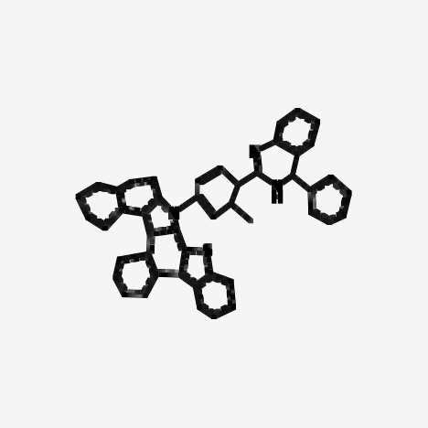 CC1C=C(n2c3ccc4ccccc4c3c3c4ccccc4c4c5ccccc5sc4c32)C=CC1C1=Nc2ccccc2C(c2ccccc2)N1